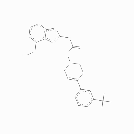 COc1ncnc2sc(NC(=O)ON3CC=C(c4cccc(C(F)(F)F)c4)CC3)nc12